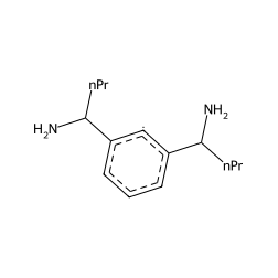 CCCC(N)c1[c]c(C(N)CCC)ccc1